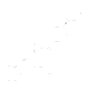 COCC/C(=C\c1ccccc1)C1CC1N[C@H]1CC[C@H](NCC(C)(C)C(=O)O)CC1